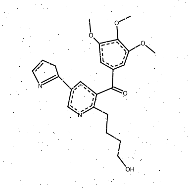 COc1cc(C(=O)c2cc(C3=NC=CC3)cnc2CCCCO)cc(OC)c1OC